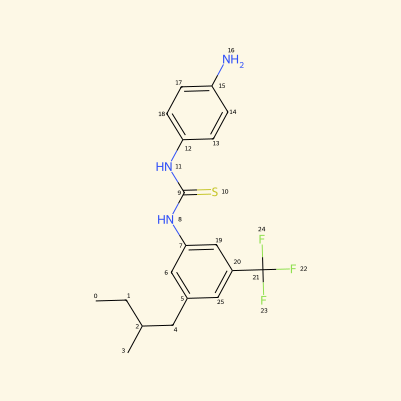 CCC(C)Cc1cc(NC(=S)Nc2ccc(N)cc2)cc(C(F)(F)F)c1